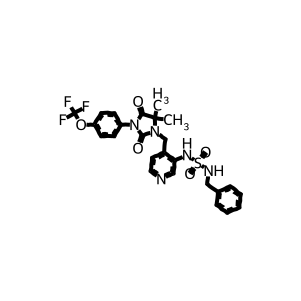 CC1(C)C(=O)N(c2ccc(OC(F)(F)F)cc2)C(=O)N1Cc1ccncc1NS(=O)(=O)NCc1ccccc1